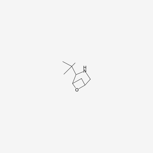 CC(C)(C)C1NCC2CC1O2